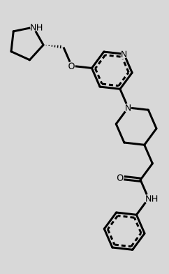 O=C(CC1CCN(c2cncc(OC[C@@H]3CCCN3)c2)CC1)Nc1ccccc1